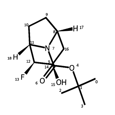 CC(C)(C)OC(=O)N1[C@@H]2CC[C@H]1[C@H](F)[C@H](O)C2